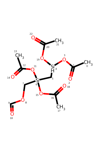 CC(=O)O[SiH](C[Si](COC=O)(OC(C)=O)OC(C)=O)OC(C)=O